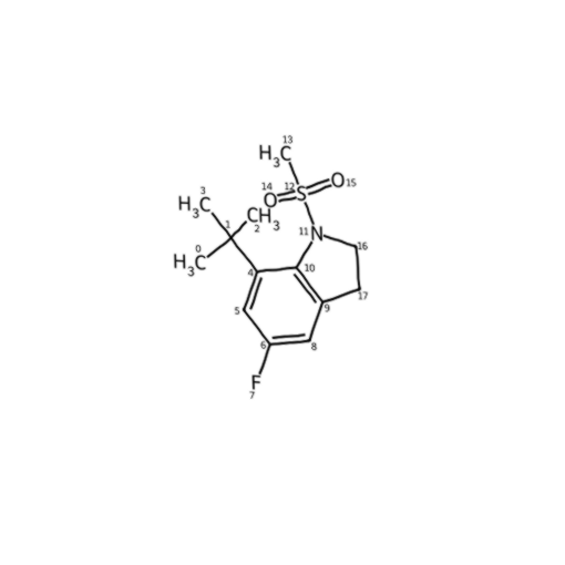 CC(C)(C)c1cc(F)cc2c1N(S(C)(=O)=O)CC2